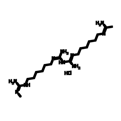 CN=C(N)NCCCCCCN=C(N)NC(N)=NCCCCCCN=C(C)N.Cl